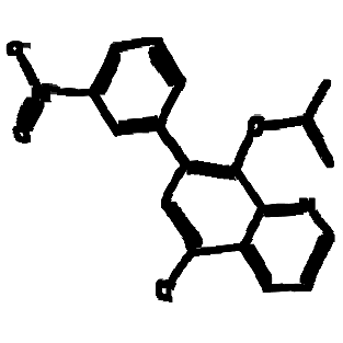 CC(C)Oc1c(-c2cccc([N+](=O)[O-])c2)cc(Cl)c2cccnc12